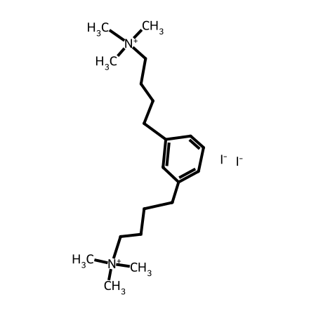 C[N+](C)(C)CCCCc1cccc(CCCC[N+](C)(C)C)c1.[I-].[I-]